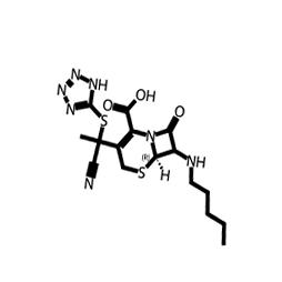 CCCCCNC1C(=O)N2C(C(=O)O)=C(C(C)(C#N)Sc3nnn[nH]3)CS[C@H]12